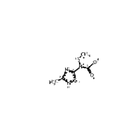 CSN(C([O])=O)c1nc(C)ns1